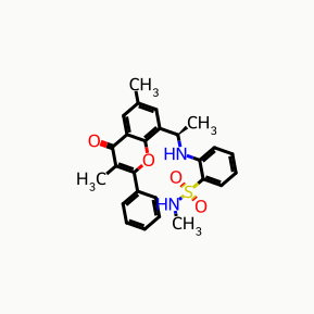 CNS(=O)(=O)c1ccccc1N[C@H](C)c1cc(C)cc2c(=O)c(C)c(-c3ccccc3)oc12